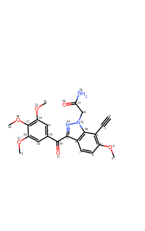 C#Cc1c(OC)ccc2c(C(=O)c3cc(OC)c(OC)c(OC)c3)nn(CC(N)=O)c12